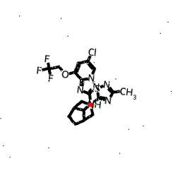 Cc1nsc(N2CC3CCC(C2)C3Nc2nc3c(OCC(F)(F)F)cc(Cl)cn3n2)n1